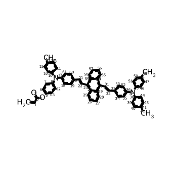 C=CC(=O)Oc1ccc(N(c2ccc(C)cc2)c2ccc(C=Cc3c4ccccc4c(C=Cc4ccc(N(c5ccc(C)cc5)c5ccc(C)cc5)cc4)c4ccccc34)cc2)cc1